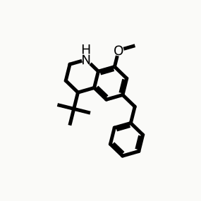 COc1cc(Cc2ccccc2)cc2c1NCCC2C(C)(C)C